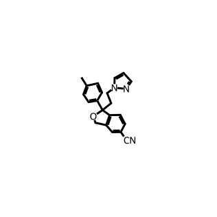 Cc1ccc(C2(CCn3cccn3)OCc3cc(C#N)ccc32)cc1